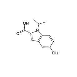 CC(C)n1c(C(=O)O)cc2cc(O)ccc21